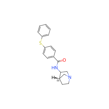 O=C(NC1CN2CC[C@H]1C2)c1ccc(Sc2ccccc2)cc1